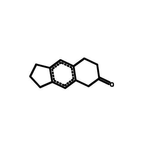 O=C1CCc2cc3c(cc2C1)CCC3